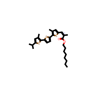 CCCCCCCCOC(=O)/C(C)=C\c1cc(C)c(-c2ccc(-c3sc(C(C)C)cc3C)s2)s1